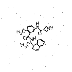 Cc1ccc(NC(=O)C2CNC2)cc1C(=O)N[C@H](C)c1cccc2ccccc12